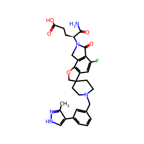 Cc1n[nH]cc1-c1cccc(CN2CCC3(CC2)COc2c3cc(F)c3c2CN([C@@H](CCC(=O)O)C(N)=O)C3=O)c1